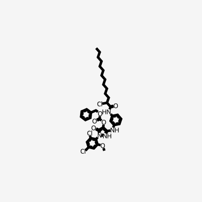 CCCCCCCCCCCCC(Cl)C(=O)Nc1cccc(Nc2[nH]n(-c3c(Cl)cc(Cl)cc3OC)c(=O)c2OC(=O)OCc2ccccc2)c1